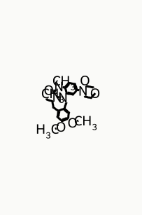 CCC1Cc2cc(OC)c(OC)cc2C=NN1C(=O)N(C)c1ccc(N2CCOCC2=O)cc1